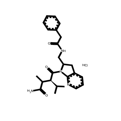 CC(C)[C@H](C(=O)N1c2ncccc2CC1CNC(=O)Cc1ccccc1)C(C)C(N)=O.Cl